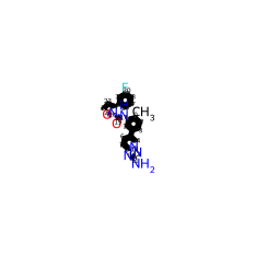 Cc1ccc(-c2ccc3nc(N)nn3c2)cc1NC(=O)N1OCC[C@H]1c1cccc(F)c1